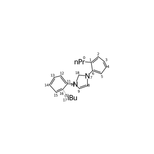 CCCc1ccccc1N1C=CN(c2ccccc2[C@@H](C)CC)C1